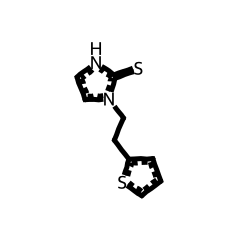 S=c1[nH]ccn1CCc1cccs1